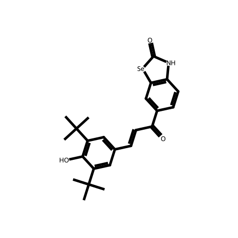 CC(C)(C)c1cc(/C=C/C(=O)c2ccc3[nH]c(=O)[se]c3c2)cc(C(C)(C)C)c1O